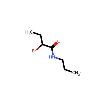 [CH2]CCNC(=O)C(Br)CC